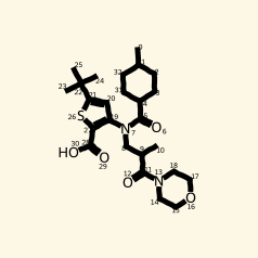 CC1CCC(C(=O)N(CC(C)C(=O)N2CCOCC2)c2cc(C(C)(C)C)sc2C(=O)O)CC1